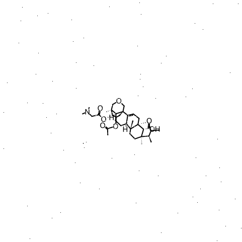 CC(=O)O[C@@H]1C[C@]23COC[C@@](C)([C@@H]2CC[C@H]2C3=CC[C@@]3(C)[C@H](C(=O)O)[C@@](C)([C@H](C)C(C)C)CC[C@]23C)[C@H]1OC(=O)CN(C)C